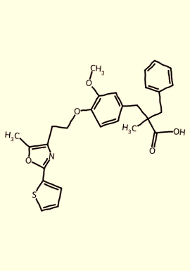 COc1cc(CC(C)(Cc2ccccc2)C(=O)O)ccc1OCCc1nc(-c2cccs2)oc1C